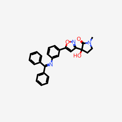 CN1CCC(O)(c2cc(-c3cccc(N=C(c4ccccc4)c4ccccc4)c3)on2)C1=O